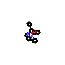 c1ccc(-c2cc(-c3ccccc3)cc(-n3ccc4ccc5c6ccccc6n(-c6ccccc6)c5c43)c2)cc1